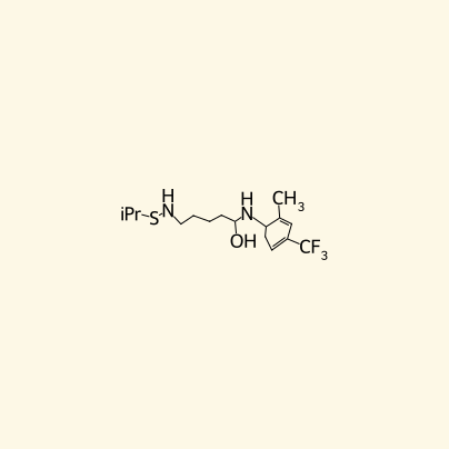 CC1=CC(C(F)(F)F)=CCC1NC(O)CCCCNSC(C)C